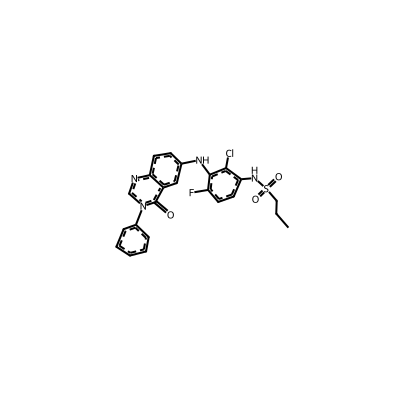 CCCS(=O)(=O)Nc1ccc(F)c(Nc2ccc3ncn(-c4ccccc4)c(=O)c3c2)c1Cl